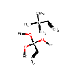 C=C[Si](C)(C)OC.C=C[Si](OCC)(OCC)OCC